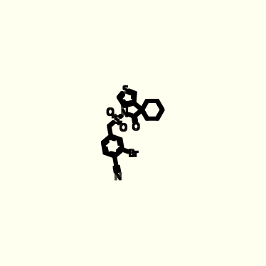 N#Cc1ccc(CS(=O)(=O)NC(=O)C2(c3ccsc3)CCCCC2)cc1Br